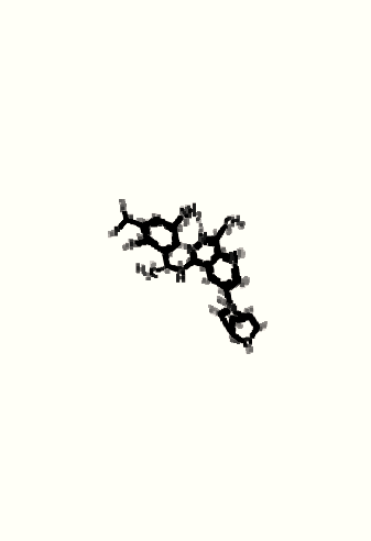 Cc1nnc(N[C@H](C)c2cc(N)cc(C(F)F)c2F)c2cc(N3CC4CC3CO4)cnc12